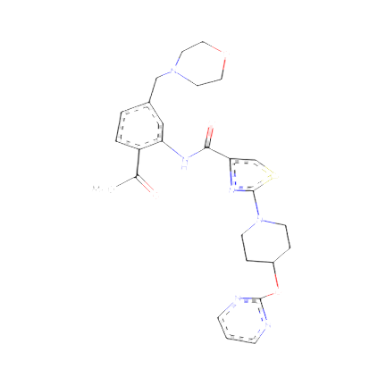 COC(=O)c1ccc(CN2CCOCC2)cc1NC(=O)c1csc(N2CCC(Oc3ncccn3)CC2)n1